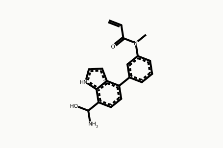 C=CC(=O)N(C)c1cccc(-c2ccc(C(N)O)c3[nH]ccc23)c1